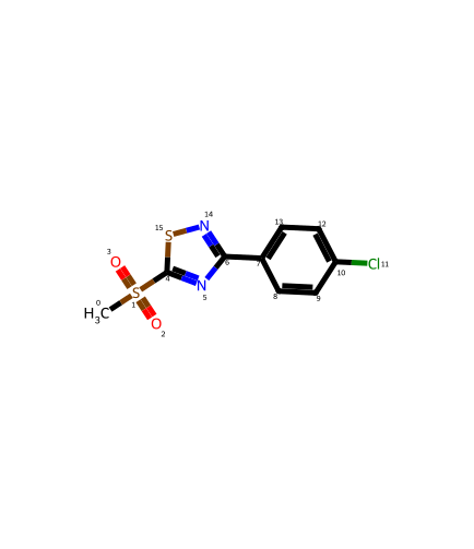 CS(=O)(=O)c1nc(-c2ccc(Cl)cc2)ns1